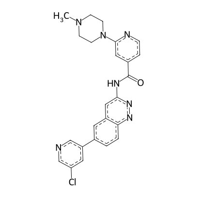 CN1CCN(c2cc(C(=O)Nc3cc4cc(-c5cncc(Cl)c5)ccc4nn3)ccn2)CC1